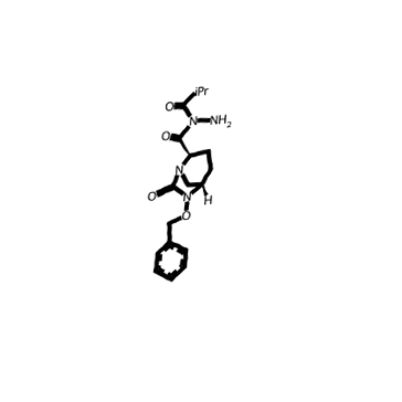 CC(C)C(=O)N(N)C(=O)[C@H]1CC[C@H]2CN1C(=O)N2OCc1ccccc1